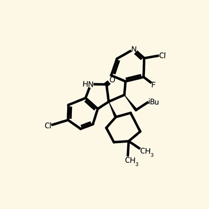 CCC(C)C[C@H](c1ccnc(Cl)c1F)[C@@]1(C2CCC(C)(C)CC2)C(=O)Nc2cc(Cl)ccc21